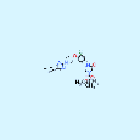 CCc1cnc(N2CCC(Oc3ccc(CN4CCN(C(=O)OC(C)(C)C)CC4=O)cc3Cl)CC2)nc1